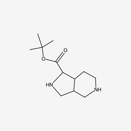 CC(C)(C)OC(=O)C1NCC2CNCCC21